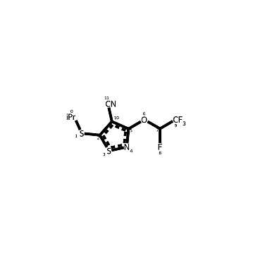 CC(C)Sc1snc(OC(F)C(F)(F)F)c1C#N